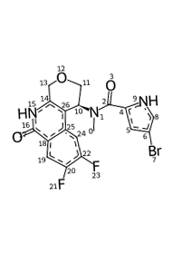 CN(C(=O)c1cc(Br)c[nH]1)[C@@H]1COCc2[nH]c(=O)c3cc(F)c(F)cc3c21